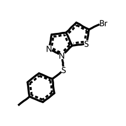 Cc1ccc(Sn2ncc3cc(Br)sc32)cc1